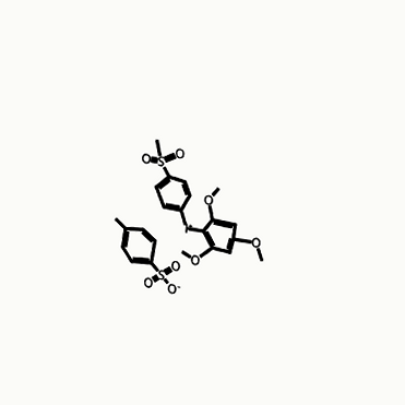 COc1cc(OC)c([I+]c2ccc(S(C)(=O)=O)cc2)c(OC)c1.Cc1ccc(S(=O)(=O)[O-])cc1